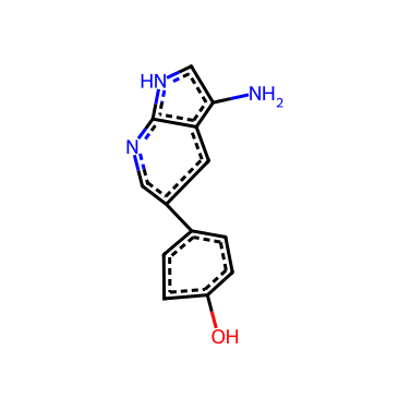 Nc1c[nH]c2ncc(-c3ccc(O)cc3)cc12